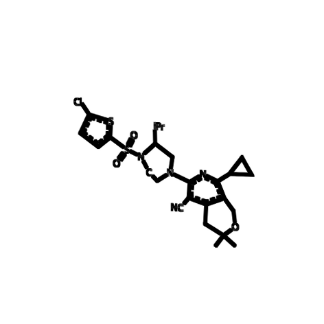 CC(C)C1CN(c2nc(C3CC3)c3c(c2C#N)CC(C)(C)OC3)CCN1S(=O)(=O)c1ccc(Cl)s1